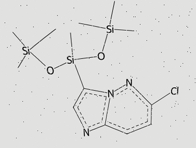 C[Si](C)(C)O[Si](C)(O[Si](C)(C)C)c1cnc2ccc(Cl)nn12